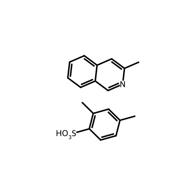 Cc1cc2ccccc2cn1.Cc1ccc(S(=O)(=O)O)c(C)c1